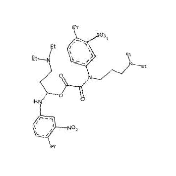 CCN(CC)CCCN(C(=O)C(=O)OC(CCN(CC)CC)Nc1ccc(C(C)C)c([N+](=O)[O-])c1)c1ccc(C(C)C)c([N+](=O)[O-])c1